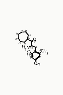 Cc1cc(O)cc(C)c1C[C@H](N)C(=O)C1CCCCCCC1